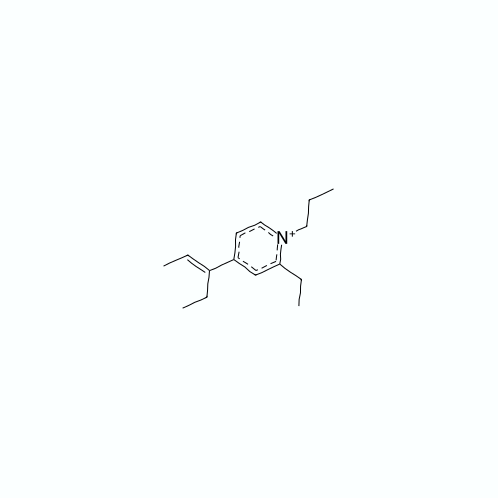 C/C=C(\CC)c1cc[n+](CCC)c(CC)c1